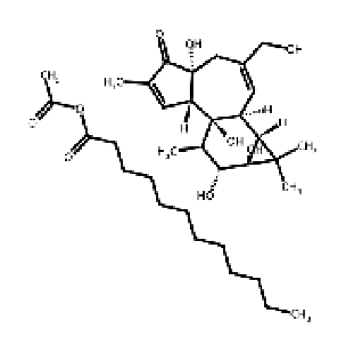 CC1=C[C@H]2[C@@]3(O)[C@H](C)[C@@H](O)[C@]4(O)[C@H]([C@@H]3C=C(CO)C[C@]2(O)C1=O)C4(C)C.CCCCCCCCCCCC(=O)OC(C)=O